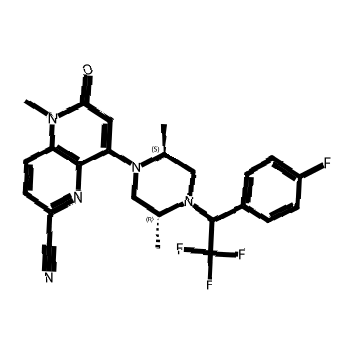 C[C@@H]1CN(c2cc(=O)n(C)c3ccc(C#N)nc23)[C@@H](C)CN1C(c1ccc(F)cc1)C(F)(F)F